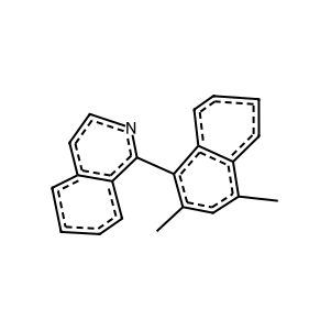 Cc1cc(C)c2ccccc2c1-c1nccc2ccccc12